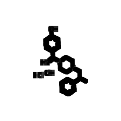 CC(CN1CCN(C(=N)c2ccc(O)cc2)CC1)c1ccccc1.Cl.Cl